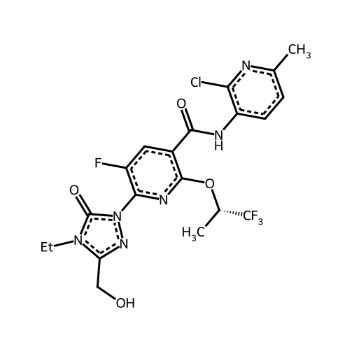 CCn1c(CO)nn(-c2nc(O[C@@H](C)C(F)(F)F)c(C(=O)Nc3ccc(C)nc3Cl)cc2F)c1=O